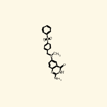 CN(Cc1ccc(S(=O)(=O)c2ccccc2)cc1)c1ccc2nc(N)[nH]c(=O)c2c1